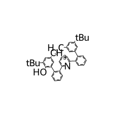 Cc1cc(-c2ccccc2-c2cccc(-c3ccccc3-c3cc(C)cc(C(C)(C)C)c3O)n2)cc(C(C)(C)C)c1